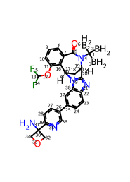 BC(B)(B)N1C(=O)c2cccc(OC(F)F)c2[C@H]2C[C@@H]1c1nc3ccc(-c4ccc(C5(N)COC5)nc4)cc3n12